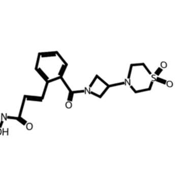 O=C(/C=C/c1ccccc1C(=O)N1CC(N2CCS(=O)(=O)CC2)C1)NO